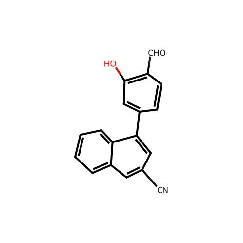 N#Cc1cc(-c2ccc(C=O)c(O)c2)c2ccccc2c1